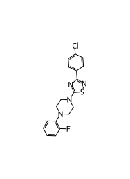 Fc1ccc[c]c1N1CCN(c2nc(-c3ccc(Cl)cc3)ns2)CC1